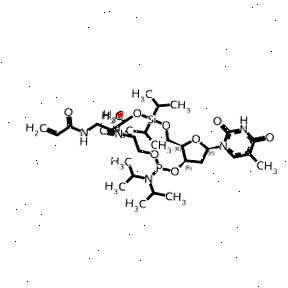 [C-]#[N+]CCOP(O[C@@H]1C[C@H](n2cc(C)c(=O)[nH]c2=O)O[C@@H]1CO[Si](OC(C)(C)CCNC(=O)C=C)(C(C)C)C(C)C)N(C(C)C)C(C)C